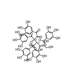 O=C(O[C@](C(=O)C(=O)c1cc(O)c(O)c(O)c1)(C(=O)c1cc(O)c(O)c(O)c1)[C@](OC(=O)c1cc(O)c(O)c(O)c1)(C(=O)c1cc(O)c(O)c(O)c1)[C@H](O)[C@H](O)CO)c1cc(O)c(O)c(O)c1